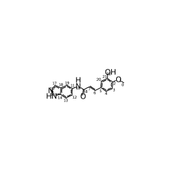 COc1ccc(C=CC(=O)Nc2ccc3[nH]ncc3c2)cc1O